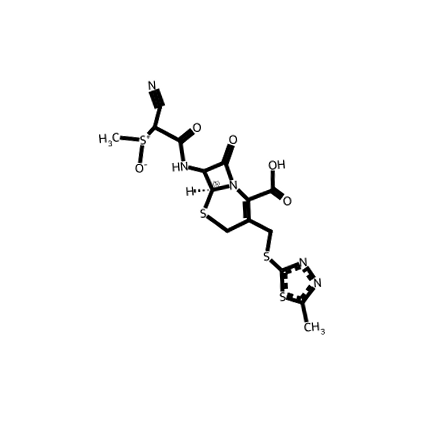 Cc1nnc(SCC2=C(C(=O)O)N3C(=O)C(NC(=O)C(C#N)[S+](C)[O-])[C@@H]3SC2)s1